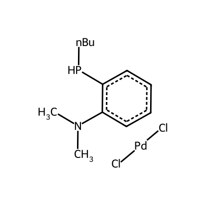 CCCCPc1ccccc1N(C)C.[Cl][Pd][Cl]